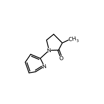 CC1CCN(c2ccccn2)C1=O